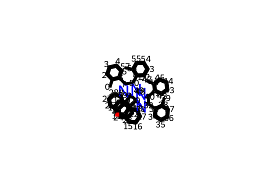 Cc1ccccc1C1=NC(c2cccc3ccccc23)(C2(c3cccc4ccccc34)N=C(c3ccccc3C)C(c3ccccc3C)=N2)N=C1c1ccccc1C